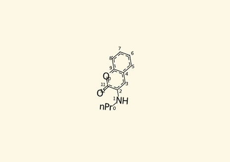 CCCNc1cc2ccc[c]c2oc1=O